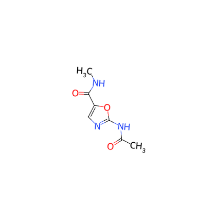 CNC(=O)c1cnc(NC(C)=O)o1